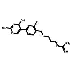 CC(C)(C)C1=NC(O)C(c2ccc(CNCCCNC(=N)N)c(Cl)c2)=CN1